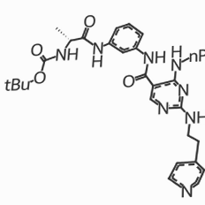 CCCNc1nc(NCCc2ccncc2)ncc1C(=O)Nc1cccc(NC(=O)[C@@H](C)NC(=O)OC(C)(C)C)c1